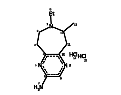 CCN1CCc2nc(N)cnc2CC1C.Cl.Cl